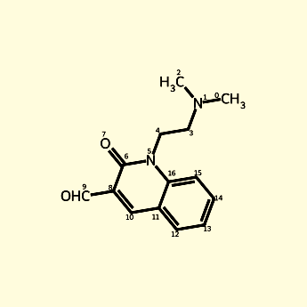 CN(C)CCn1c(=O)c(C=O)cc2ccccc21